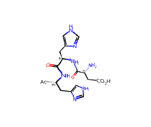 CC(=O)[C@@H](Cc1c[nH]cn1)NC(=O)[C@@H](Cc1c[nH]cn1)NC(=O)[C@H](N)CC(=O)O